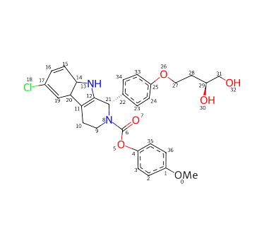 COc1ccc(OC(=O)N2CCC3=C(NC4C=CC(Cl)=CC34)[C@@H]2c2ccc(OCC[C@H](O)CO)cc2)cc1